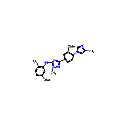 COc1ccc(C)c(Nc2nc(-c3ccc(-n4cnc(C)c4)c(OC)c3)nn2C)c1